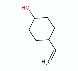 C=CC1C[CH]C(O)CC1